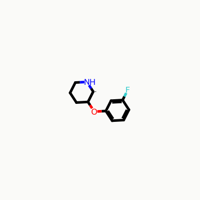 Fc1cccc(OC2[CH]NCCC2)c1